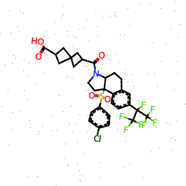 O=C(O)C1CC2(C1)CC(C(=O)N1CCC3(S(=O)(=O)c4ccc(Cl)cc4)c4ccc(C(F)(C(F)(F)F)C(F)(F)F)cc4CCC13)C2